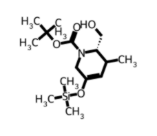 CC1C=C(O[Si](C)(C)C)CN(C(=O)OC(C)(C)C)[C@@H]1CO